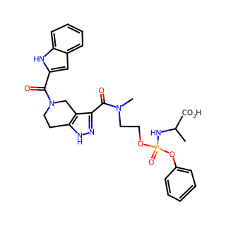 CC(NP(=O)(OCCN(C)C(=O)c1n[nH]c2c1CN(C(=O)c1cc3ccccc3[nH]1)CC2)Oc1ccccc1)C(=O)O